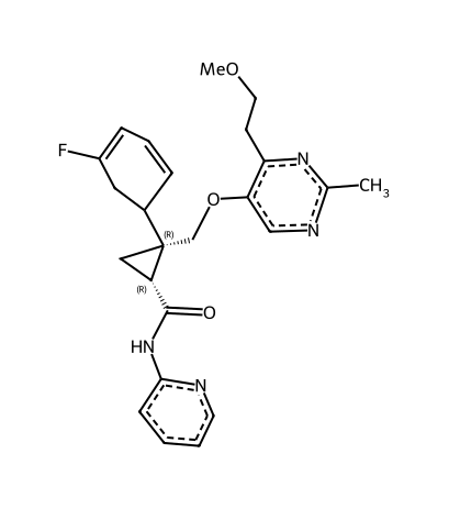 COCCc1nc(C)ncc1OC[C@@]1(C2C=CC=C(F)C2)C[C@H]1C(=O)Nc1ccccn1